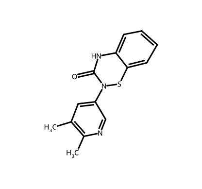 Cc1cc(N2Sc3ccccc3NC2=O)cnc1C